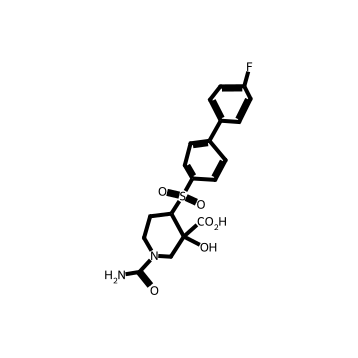 NC(=O)N1CCC(S(=O)(=O)c2ccc(-c3ccc(F)cc3)cc2)C(O)(C(=O)O)C1